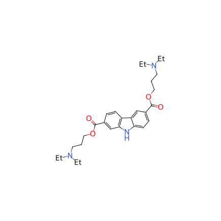 CCN(CC)CCCOC(=O)c1ccc2c(c1)[nH]c1ccc(C(=O)OCCCN(CC)CC)cc12